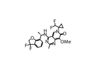 COc1c(=O)n(C2(C(F)F)CC2)cc2c(N[C@H](C)c3cccc4c3OCC4(F)F)nc(C)nc12